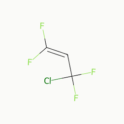 FC(F)=CC(F)(F)Cl